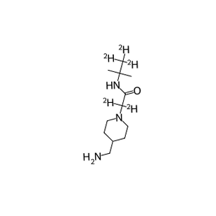 [2H]C([2H])(C(=O)NC(C)(C)C([2H])([2H])[2H])N1CCC(CN)CC1